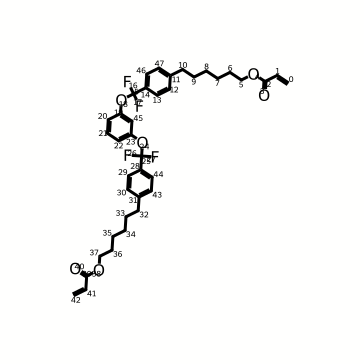 C=CC(=O)OCCCCCCc1ccc(C(F)(F)Oc2cccc(OC(F)(F)c3ccc(CCCCCCOC(=O)C=C)cc3)c2)cc1